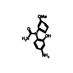 COc1cccc(N(C(N)=O)c2ccc(N)cc2O)c1